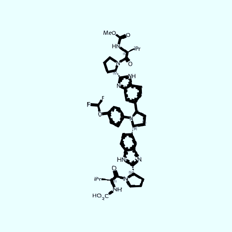 COC(=O)N[C@H](C(=O)N1CCC[C@H]1c1nc2cc(C3CC[C@H](c4ccc5[nH]c([C@@H]6CCCN6C(=O)[C@@H](NC(=O)O)C(C)C)nc5c4)N3c3ccc(OC(F)F)cc3)ccc2[nH]1)C(C)C